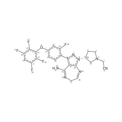 N#CCN1CC[C@@H](n2nc(-c3ccc(Oc4c(F)c(F)cc(F)c4F)cc3F)c3c2N=CCN=C3N)C1